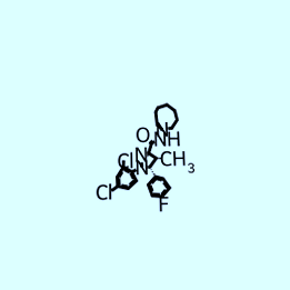 C[C@H]1C(C(=O)NN2CCCCCCC2)=NN(c2ccc(Cl)cc2Cl)[C@H]1c1ccc(F)cc1